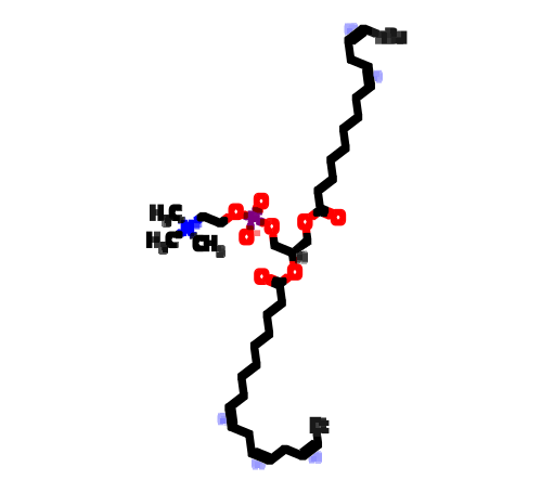 CC/C=C\C/C=C\C/C=C\CCCCCCCC(=O)O[C@H](COC(=O)CCCCCCC/C=C\C/C=C\CCCC)COP(=O)([O-])OCC[N+](C)(C)C